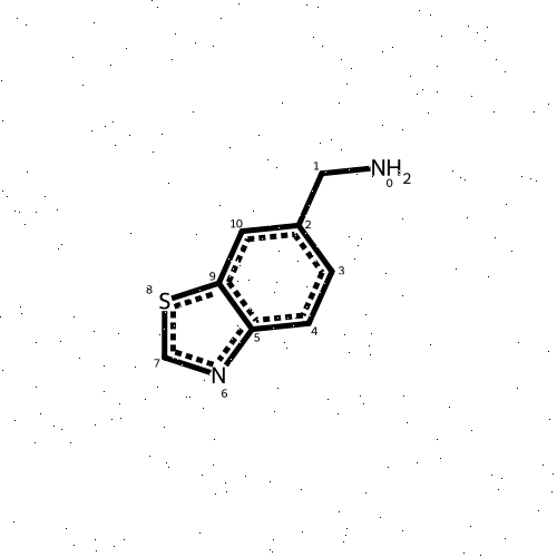 NCc1ccc2ncsc2c1